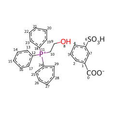 O=C([O-])c1cccc(S(=O)(=O)O)c1.OCC[P+](c1ccccc1)(c1ccccc1)c1ccccc1